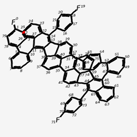 Fc1ccc(-c2ccccc2-c2c3c(c(-c4ccc(F)cc4)c4ccccc24)-c2ccc4c5c6c(c7ccc-3c2c47)=CC=C2c3c(c(-c4ccccc4-c4ccc(F)cc4)c4ccccc4c3-c3ccc(F)cc3)C(C=C5)C26)cc1